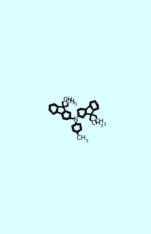 CCC1(CC)c2ccccc2-c2ccc(N(c3ccc(C)cc3)c3ccc4c(c3)C(CC)(CC)c3ccccc3-4)cc21